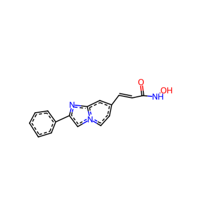 O=C(C=Cc1ccn2cc(-c3ccccc3)nc2c1)NO